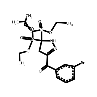 CCOP(=O)(OCC)C1(P(=O)(OCC)OCC)CC(C(=O)c2cccc(Br)c2)=NN1